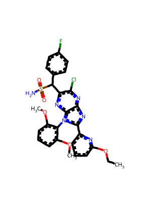 CCOc1cccc(-c2nc3nc(Cl)c(C(c4ccc(F)cc4)S(N)(=O)=O)nc3n2-c2c(OC)cccc2OC)n1